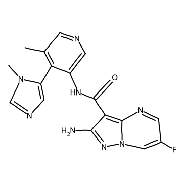 Cc1cncc(NC(=O)c2c(N)nn3cc(F)cnc23)c1-c1cncn1C